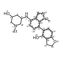 CCN1CC(O)CC(Nc2nnc(-c3ccc4c(c3O)CCO4)c3c2cnn3C)C1